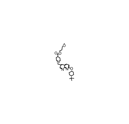 COCCCOC(=O)C1CCN(Cc2cnc3nc(O[C@H]4CC[C@H](C(C)(C)C)CC4)ccc3c2)CC1